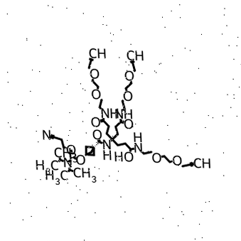 C#CCOCCOCCNC(=O)CCC(CCC(=O)NCCOCCOCC#C)(CCC(O)NCCOCCOCC#C)NC(=O)[C@]12C[C@@](OP(OCCC#N)N(C(C)C)C(C)C)(C1)C2